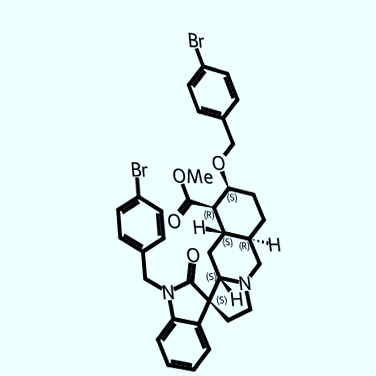 COC(=O)[C@@H]1[C@H]2C[C@@H]3N(CC[C@@]34C(=O)N(Cc3ccc(Br)cc3)c3ccccc34)C[C@@H]2CC[C@@H]1OCc1ccc(Br)cc1